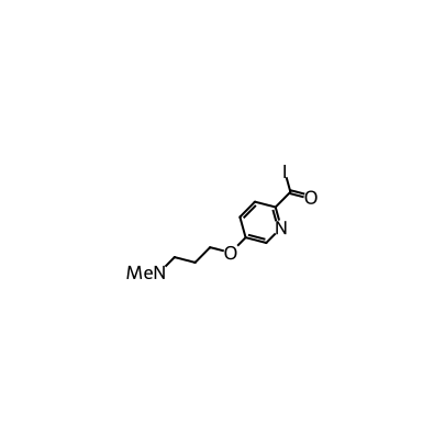 CNCCCOc1ccc(C(=O)I)nc1